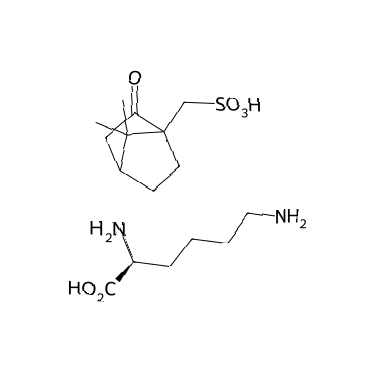 CC1(C)C2CCC1(CS(=O)(=O)O)C(=O)C2.NCCCC[C@H](N)C(=O)O